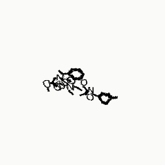 CCN(CC)S(=O)(=O)N(CC(=O)OC)C(C)c1cccc(OCc2nc(-c3ccc(C)cc3)oc2C)c1